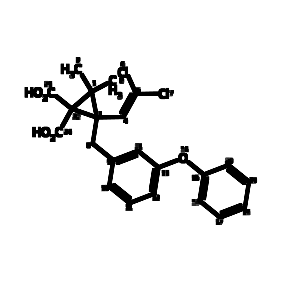 CC1(C)C(C=C(Cl)Cl)(Cc2cccc(Oc3ccccc3)c2)C1(C(=O)O)C(=O)O